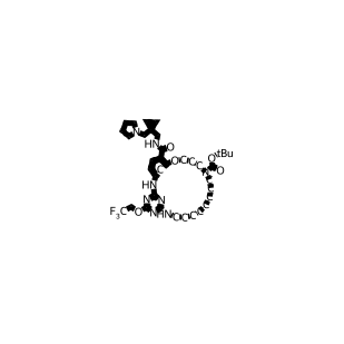 CC(C)(C)OC(=O)N1CCCCCCCCNc2nc(nc(OCC(F)(F)F)n2)Nc2ccc(C(=O)NCC3(CN4CCCC4)CC3)c(c2)OCCC1